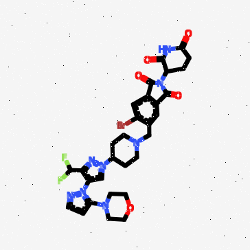 O=C1CCC(N2C(=O)c3cc(Br)c(CN4CCC(n5cc(-n6nccc6N6CCOCC6)c(C(F)F)n5)CC4)cc3C2=O)C(=O)N1